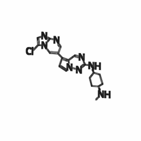 CN[C@H]1CC[C@@H](Nc2ncc3c(-c4cnc5ncc(Cl)n5c4)ccn3n2)CC1